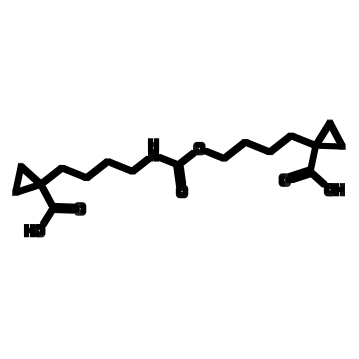 O=C(NCCCCC1(C(=O)O)CC1)OCCCCC1(C(=O)O)CC1